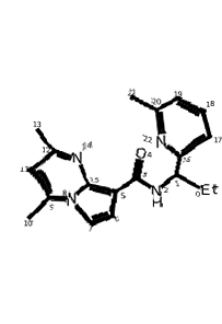 CCC(NC(=O)c1ccn2c(C)cc(C)nc12)c1cccc(C)n1